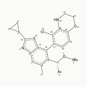 CC(=O)[C@@H](OC(C)(C)C)c1c(C)cc2nc(C3CC3)sc2c1-c1ccc2c(c1Cl)NCCO2